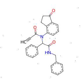 C#CC(=O)N(c1cccc2c1CCC2=O)C(C(=O)NCc1ccccc1)c1ccccc1